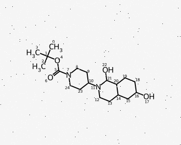 CC(C)(C)OC(=O)N1CCC(N2CCC3CC(O)CCC3C2O)CC1